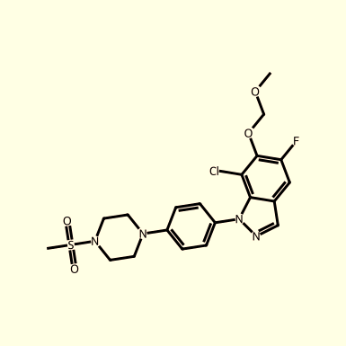 COCOc1c(F)cc2cnn(-c3ccc(N4CCN(S(C)(=O)=O)CC4)cc3)c2c1Cl